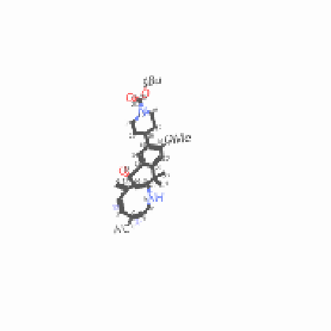 C=C1/C=C\C(C#N)=C/CNC2=C1C(=O)c1cc(C3CCN(C(=O)OC(C)(C)C)CC3)c(OC)cc1C2(C)C